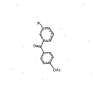 CC(=O)Oc1ccc(C(=O)c2cccc(Br)c2)cc1